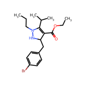 CCCN1NC(Cc2ccc(Br)cc2)C(C(=O)OCC)=C1C(C)C